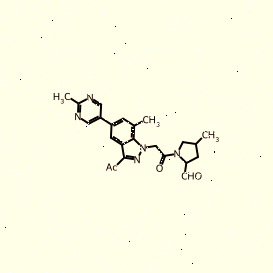 CC(=O)c1nn(CC(=O)N2CC(C)CC2C=O)c2c(C)cc(-c3cnc(C)nc3)cc12